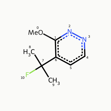 COc1nnccc1C(C)(C)F